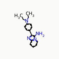 CCN(CC)c1ccc(-c2nc3ccccn3c2N)cc1